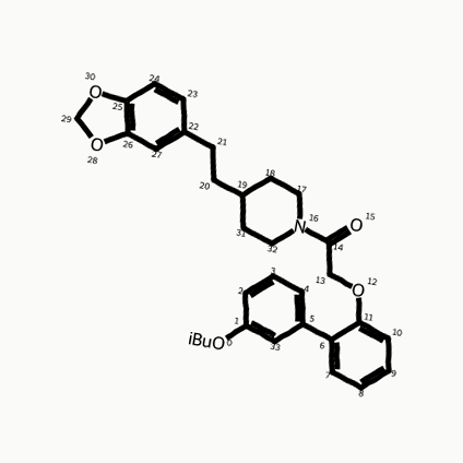 CC(C)COc1cccc(-c2ccccc2OCC(=O)N2CCC(CCc3ccc4c(c3)OCO4)CC2)c1